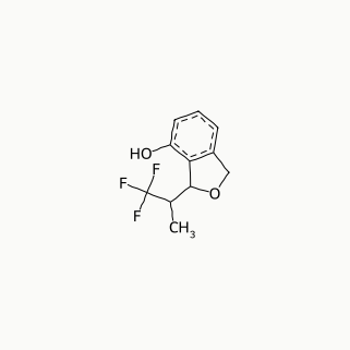 CC(C1OCc2cccc(O)c21)C(F)(F)F